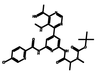 CNc1c(C(C)=N)ncnc1-c1cc(NC(=O)c2ccc(Cl)cn2)nc(NC(=O)C(C)N(C)C(=O)OC(C)(C)C)c1